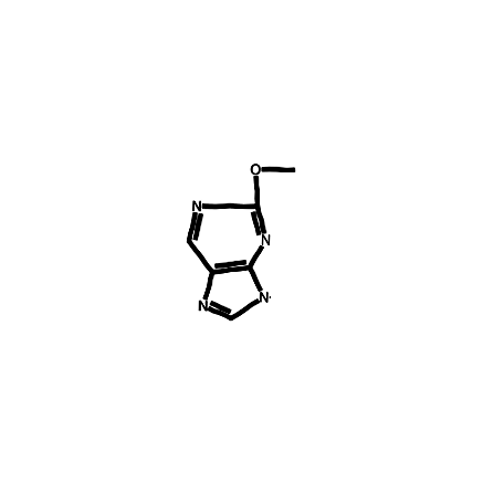 COc1ncc2c(n1)[N]C=N2